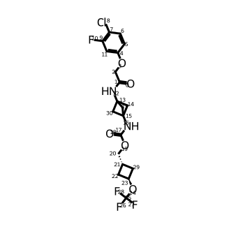 O=C(COc1ccc(Cl)c(F)c1)NC12CC(NC(=O)OC[C@H]3C[C@H](OC(F)(F)F)C3)(C1)C2